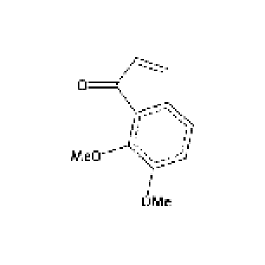 COc1ccc2c(c1OC)C(=O)C=C2